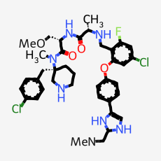 CNCC1NC=C(c2ccc(Oc3cc(Cl)cc(F)c3CN[C@@H](C)C(=O)N[C@@H](COC)C(=O)N(C)[C@@]3(Cc4ccc(Cl)cc4)CCCNC3)cc2)N1